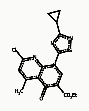 CCOC(=O)c1cn(-c2nc(C3CC3)ns2)c2nc(Cl)cc(C)c2c1=O